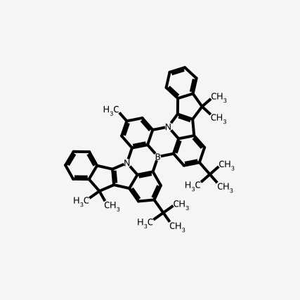 Cc1cc2c3c(c1)-n1c4c(c5cc(C(C)(C)C)cc(c51)B3c1cc(C(C)(C)C)cc3c5c(n-2c13)-c1ccccc1C5(C)C)C(C)(C)c1ccccc1-4